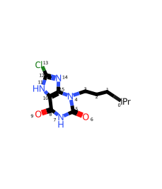 CC(C)CCCn1c(=O)[nH]c(=O)c2[nH]c(Cl)nc21